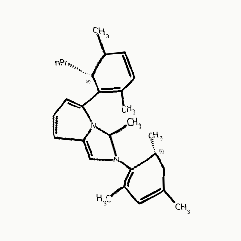 CCC[C@H]1C(C2=CC=CC3=CN(C4=C(C)C=C(C)C[C@H]4C)C(C)N32)=C(C)C=CC1C